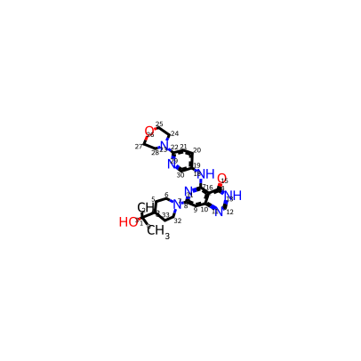 CC(C)(O)C1CCN(c2cc3nc[nH]c(=O)c3c(Nc3ccc(N4CCOCC4)nc3)n2)CC1